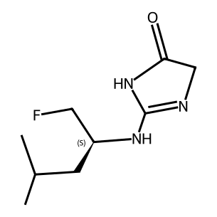 CC(C)C[C@@H](CF)NC1=NCC(=O)N1